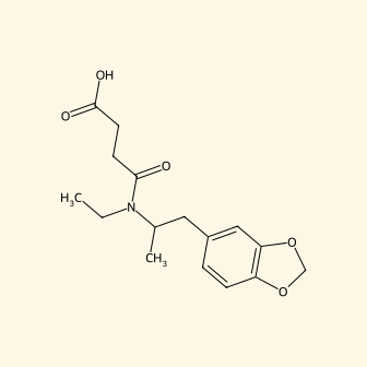 CCN(C(=O)CCC(=O)O)C(C)Cc1ccc2c(c1)OCO2